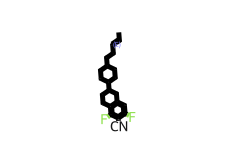 C/C=C/CCC1CCC(C2CCc3c(cc(F)c(C#N)c3F)C2)CC1